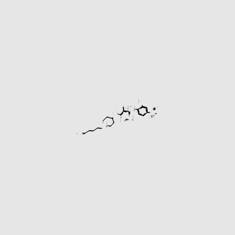 Cc1c(Nc2ccc(S(C)(=O)=O)cc2F)ncnc1OC1CCN(CCCCC=O)CC1